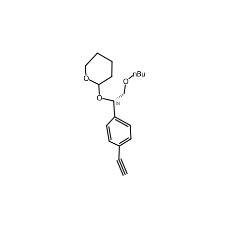 C#Cc1ccc([C@@H](COCCCC)OC2CCCCO2)cc1